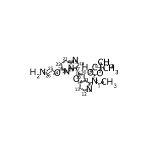 CCN(C(=O)OC(C)(C)C)c1nccc2oc(-c3cnc4ccc(OCCN)nn34)cc12